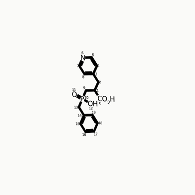 O=C(O)C(Cc1ccncc1)CP(=O)(O)Cc1ccccc1